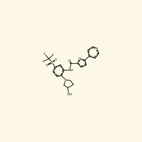 O=C(Nc1cc(S(=O)(=O)C(F)(F)F)ccc1N1CCC(O)C1)c1ccc(-c2ccncc2)o1